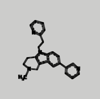 CN1CCc2c(c3cc(-c4cccnc4)ccc3n2CCc2ccccn2)C1